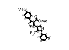 COC(=O)c1c(-c2ccc(OC)cc2)noc1-c1cnn(-c2cccc(F)c2)c1C(F)(F)F